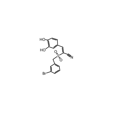 N#CC(=Cc1ccc(O)c(O)c1)S(=O)(=O)Cc1cccc(Br)c1